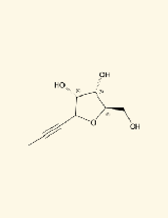 CC#CC1O[C@H](CO)[C@@H](O)[C@H]1O